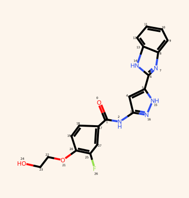 O=C(Nc1cc(-c2nc3ccccc3[nH]2)[nH]n1)c1ccc(OCCO)c(F)c1